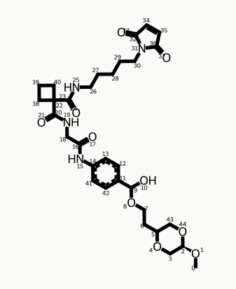 CO[C@H]1COC(CCOC(O)c2ccc(NC(=O)CNC(=O)C3(C(=O)NCCCCCN4C(=O)C=CC4=O)CCC3)cc2)CO1